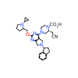 N#CC[C@H]1CN(c2nc(OCC3CCCN3C3CC3)nc3c2CN(C2CCc4ccccc42)C3)CCN1C(=O)O